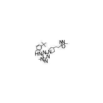 Cc1nnc(CCC2CCN(c3nc(Nc4cc(C(C)(C)C)ccc4C)c4c(ncn4C)n3)CC2)o1